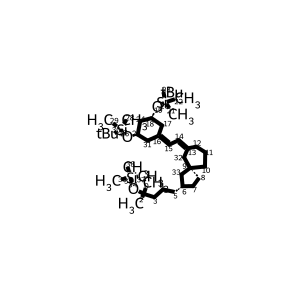 CC(C)(CCC[C@H]1CC[C@]2(CCC/C(=C/C=C3C[C@@H](O[Si](C)(C)C(C)(C)C)C[C@H](O[Si](C)(C)C(C)(C)C)C3)C2)C1)O[Si](C)(C)C